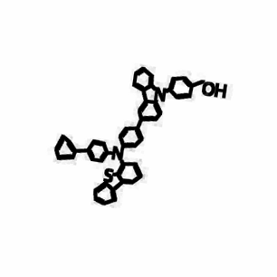 OCc1ccc(-n2c3ccccc3c3cc(-c4ccc(N(c5ccc(-c6ccccc6)cc5)c5cccc6c5sc5ccccc56)cc4)ccc32)cc1